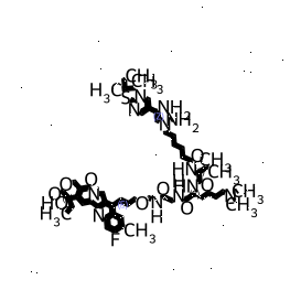 CCC(C)(CC)Sc1ncc(/C(N)=C/N(N)CCCCCC(=O)N[C@H](C(=O)N[C@@H](CCCCN(C)C)C(=O)NCC(=O)NCOC/C=C/c2c3c(nc4cc(F)c(C)cc24)-c2cc4c(c(=O)n2C3)COC(=O)[C@]4(O)CC)C(C)C)cn1